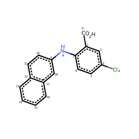 O=C(O)c1cc(Cl)ccc1Nc1ccc2ccccc2c1